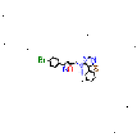 Brc1ccc(-c2cc(CNc3ncnc4sc5c(c34)CCCC5)on2)cc1